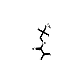 CC(C)C(=O)OCC(C)(C)N